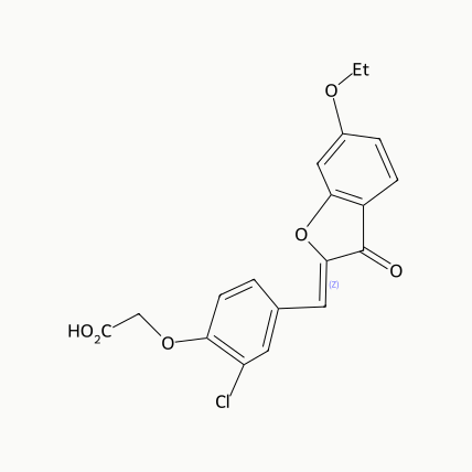 CCOc1ccc2c(c1)O/C(=C\c1ccc(OCC(=O)O)c(Cl)c1)C2=O